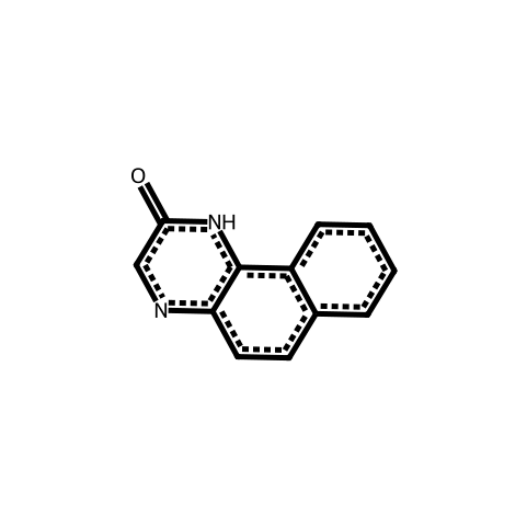 O=c1cnc2ccc3ccccc3c2[nH]1